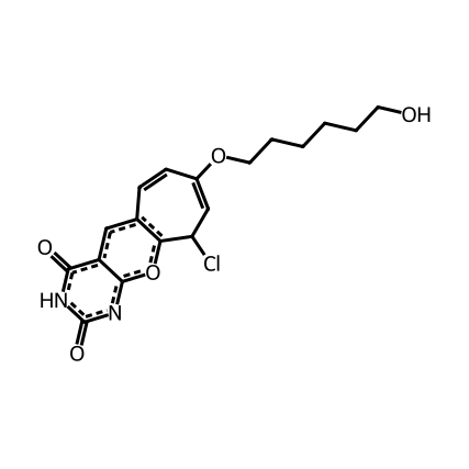 O=c1nc2oc3c(cc-2c(=O)[nH]1)C=CC(OCCCCCCO)=CC3Cl